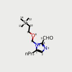 CCCc1cnc(C=O)n1COCC[Si](C)(C)C